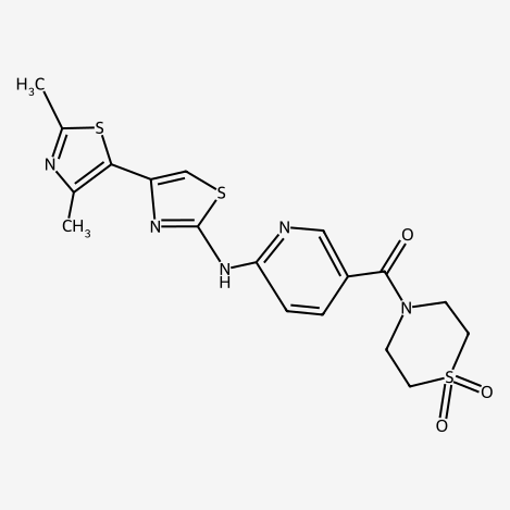 Cc1nc(C)c(-c2csc(Nc3ccc(C(=O)N4CCS(=O)(=O)CC4)cn3)n2)s1